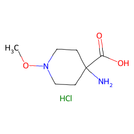 CON1CCC(N)(C(=O)O)CC1.Cl